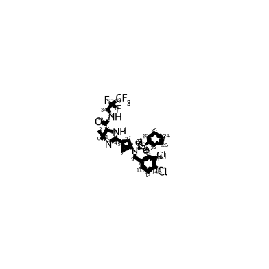 CC1(C)N=C(C23CC(N(Cc4ccc(Cl)c(Cl)c4)S(=O)(=O)c4ccccc4)(C2)C3)N[C@H]1C(=O)NCC(F)(F)C(F)(F)F